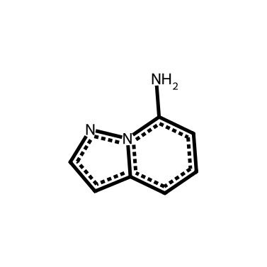 Nc1cccc2ccnn12